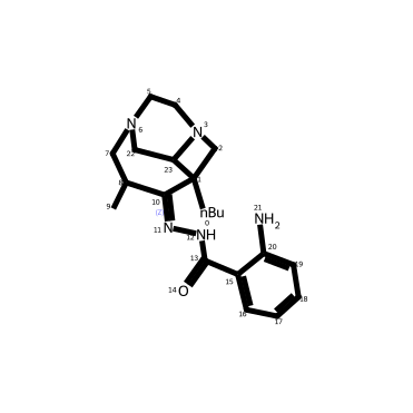 CCCCC12CN3CCN(CC(C)/C1=N/NC(=O)c1ccccc1N)CC32